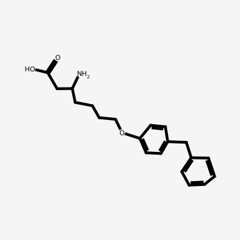 NC(CCCCOc1ccc(Cc2ccccc2)cc1)CC(=O)O